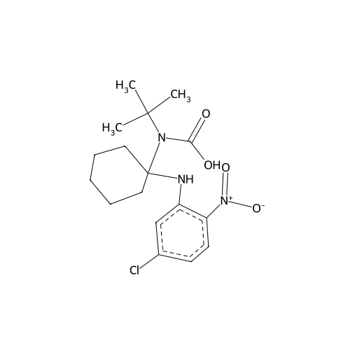 CC(C)(C)N(C(=O)O)C1(Nc2cc(Cl)ccc2[N+](=O)[O-])CCCCC1